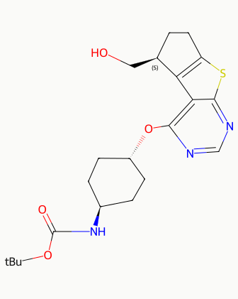 CC(C)(C)OC(=O)N[C@H]1CC[C@H](Oc2ncnc3sc4c(c23)[C@@H](CO)CC4)CC1